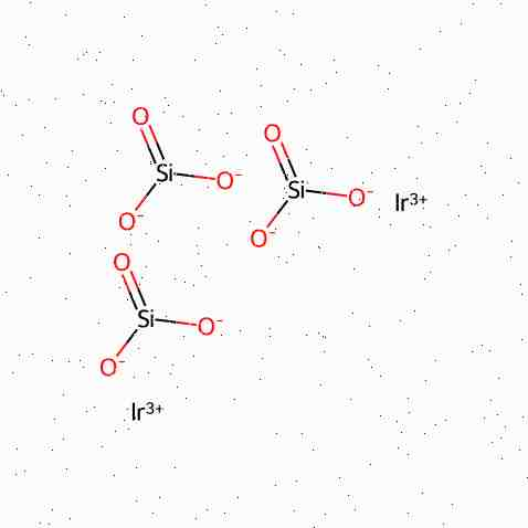 O=[Si]([O-])[O-].O=[Si]([O-])[O-].O=[Si]([O-])[O-].[Ir+3].[Ir+3]